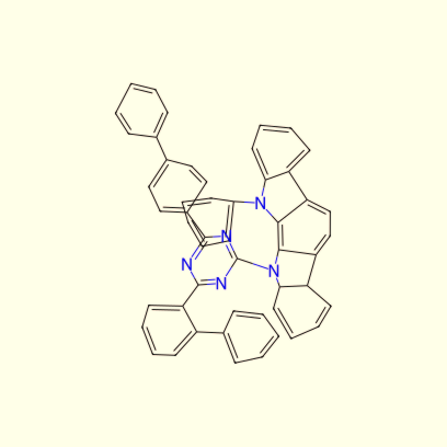 C1=CC2c3ccc4c5ccccc5n(-c5ccccc5)c4c3N(c3nc(-c4ccc(-c5ccccc5)cc4)nc(-c4ccccc4-c4ccccc4)n3)C2C=C1